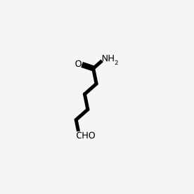 NC(=O)CCCCC=O